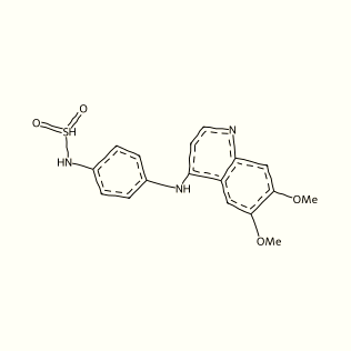 COc1cc2nccc(Nc3ccc(N[SH](=O)=O)cc3)c2cc1OC